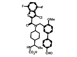 COc1ccc(-c2ccc(C=O)cc2)cc1CN(C(=O)c1sc2c(F)ccc(F)c2c1Cl)C1CCC(C(NC(=O)O)C(C)(C)C)CC1